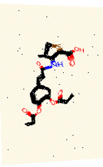 CCC(=O)Oc1ccc(C=CC(=O)Nc2c(C)csc2C(=O)O)cc1OC(=O)CC